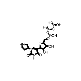 O=c1[nH]c(=O)n(C2CCNC2)cc1C1OC(COP(O)OP(O)OP(O)O)C(O)C1O